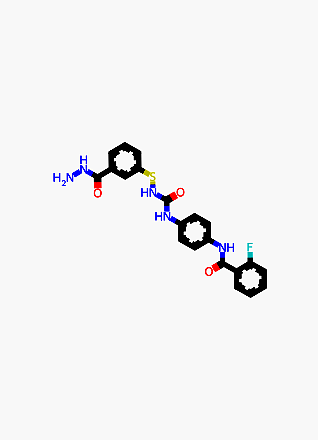 NNC(=O)c1cccc(SNC(=O)Nc2ccc(NC(=O)c3ccccc3F)cc2)c1